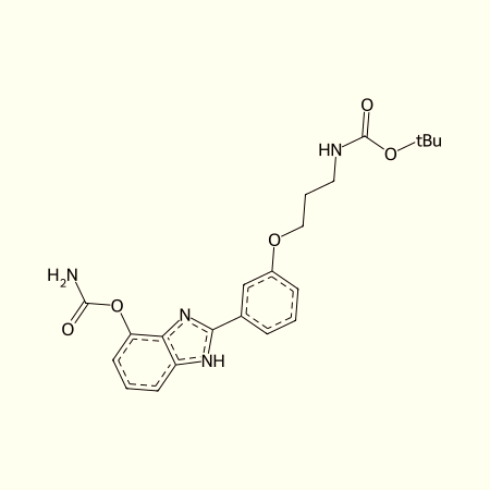 CC(C)(C)OC(=O)NCCCOc1cccc(-c2nc3c(OC(N)=O)cccc3[nH]2)c1